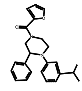 CC(C)c1c[c]cc(N2CCN(C(=O)c3ccco3)CC2c2ccccc2)c1